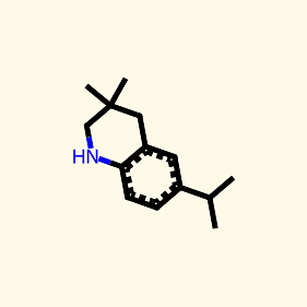 CC(C)c1ccc2c(c1)CC(C)(C)CN2